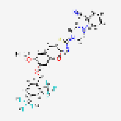 COc1cc(C=C2SC(N3CCN(c4ccccc4C#N)CC3)=NC2=O)ccc1OCc1ccc(C(F)(F)F)cc1C(F)(F)F